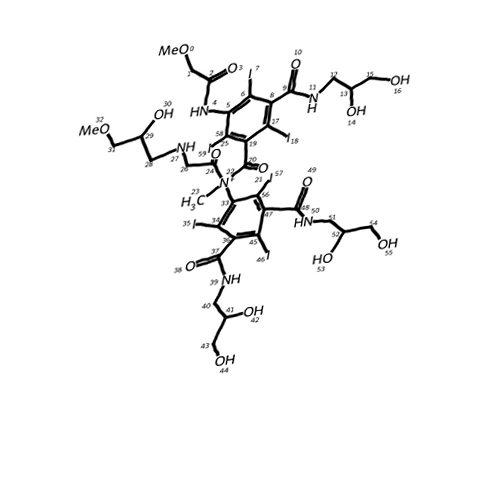 COCC(=O)Nc1c(I)c(C(=O)NCC(O)CO)c(I)c(C(=O)[N+](C)(C(=O)CNCC(O)COC)c2c(I)c(C(=O)NCC(O)CO)c(I)c(C(=O)NCC(O)CO)c2I)c1I